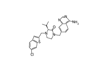 CC(C)[C@H]1C(=O)N(Cc2ccc3c(N)ncnc3c2)CCN1Cc1cc2ccc(Cl)cc2s1